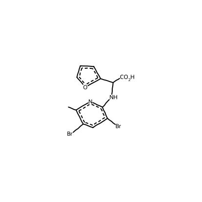 Cc1nc(NC(C(=O)O)c2ccco2)c(Br)cc1Br